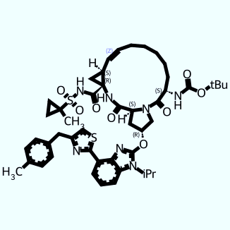 Cc1ccc(Cc2csc(-c3cccc4c3nc(O[C@@H]3C[C@H]5C(=O)N[C@]6(C(=O)NS(=O)(=O)C7(C)CC7)C[C@H]6/C=C\CCCCC[C@H](NC(=O)OC(C)(C)C)C(=O)N5C3)n4C(C)C)n2)cc1